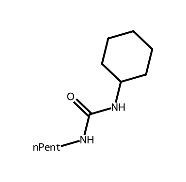 CCCCCNC(=O)NC1CCCCC1